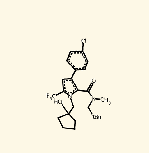 CN(CC(C)(C)C)C(=O)c1c(-c2ccc(Cl)cc2)cc(C(F)(F)F)n1CC1(O)CCCC1